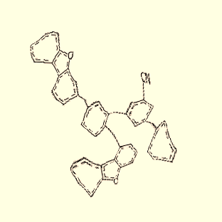 N#Cc1cc(-c2ccccc2)cc(-c2cc(-c3ccc4c(c3)oc3ccccc34)ccc2-c2cccc3oc4ccccc4c23)c1